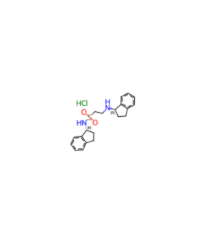 Cl.O=S(=O)(CCN[C@@H]1CCc2ccccc21)N[C@@H]1CCc2ccccc21